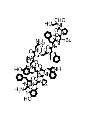 CCCC[C@@H](C(=O)N1CCC[C@@H]1C(=O)N[C@H](C=O)CO)N(C)C(=O)C(Cc1ccccc1)N(C)C(=O)[C@H](Cc1ccccc1)NC(=O)CSC[C@H](NC(=O)[C@H](CC(C)C)NC(=O)[C@H](Cc1ccc(O)cc1)NC(=O)[C@H](Cc1c[nH]c2ccccc12)NC(=O)[C@H]1CSCN1C(=O)[C@H](Cc1ccc(O)cc1)NC(=O)C(Cc1ccccc1)N(C)C(=O)[C@@H](N)C(C)C)C(=O)NCC(N)=O